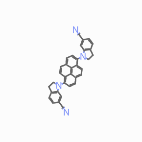 N#Cc1ccc2c(c1)N(c1ccc3ccc4c(N5CCc6ccc(C#N)cc65)ccc5ccc1c3c54)CC2